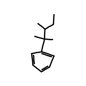 CCC(C)C(C)(C)c1ccccc1